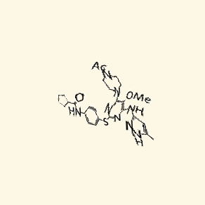 COc1c(Nc2cc(C)[nH]n2)nc(Sc2ccc(NC(=O)C3CCCC3)cc2)nc1N1CCN(C(C)=O)CC1